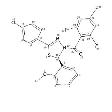 COc1ccccc1[C@H]1SC(c2ccc(Cl)cc2)=NN1C(=O)c1c(F)cc(F)cc1F